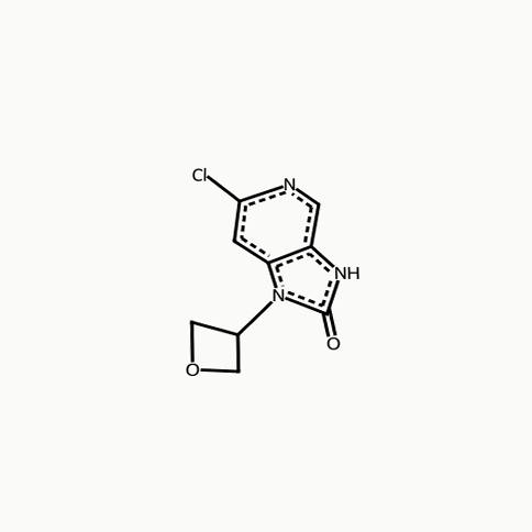 O=c1[nH]c2cnc(Cl)cc2n1C1COC1